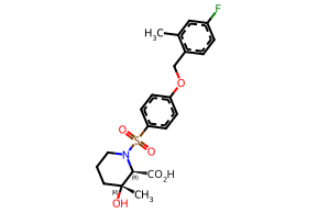 Cc1cc(F)ccc1COc1ccc(S(=O)(=O)N2CCC[C@@](C)(O)[C@@H]2C(=O)O)cc1